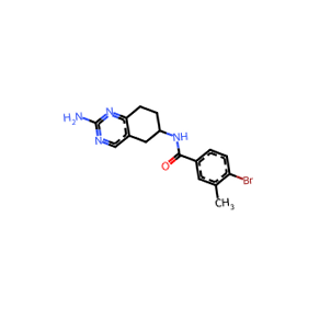 Cc1cc(C(=O)NC2CCc3nc(N)ncc3C2)ccc1Br